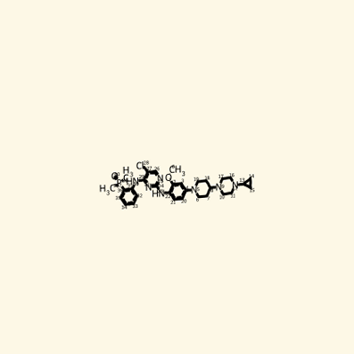 COc1cc(N2CCC(N3CCN(C4CC4)CC3)CC2)ccc1Nc1ncc(Cl)c(Nc2ccccc2P(C)(C)=O)n1